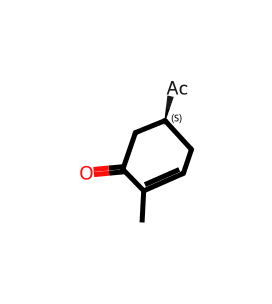 CC(=O)[C@H]1CC=C(C)C(=O)C1